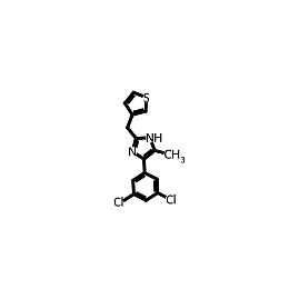 Cc1[nH]c(Cc2ccsc2)nc1-c1cc(Cl)cc(Cl)c1